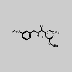 COC[C@H](NC(=O)OC(C)(C)C)C(=O)NCc1cccc(OC)c1